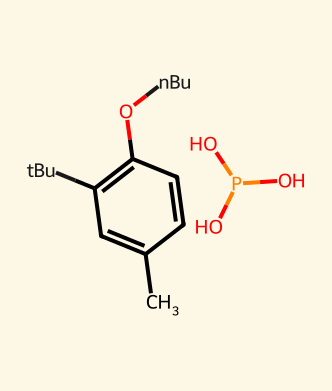 CCCCOc1ccc(C)cc1C(C)(C)C.OP(O)O